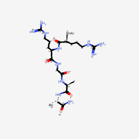 CC[C@H](C)[C@H](NC(=O)[C@H](C)NC(=O)CNC(=O)C(CCCNC(=N)N)NC(=O)[C@H](CCCNC(=N)N)NC(C)=O)C(N)=O